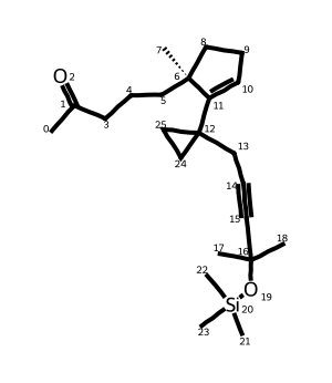 CC(=O)CCC[C@@]1(C)CCC=C1C1(CC#CC(C)(C)O[Si](C)(C)C)CC1